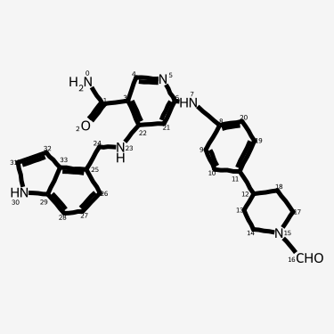 NC(=O)c1cnc(Nc2ccc(C3CCN(C=O)CC3)cc2)cc1NCc1cccc2[nH]ccc12